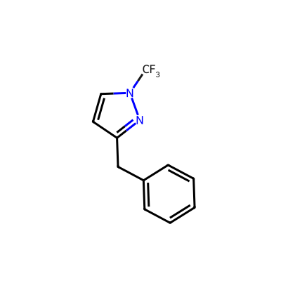 FC(F)(F)n1ccc(Cc2ccccc2)n1